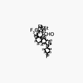 CC[Si](CC)(CC)O[C@@]1(C(F)(F)F)CC[C@]2(CC=O)c3cc4cnn(-c5ccc(F)cc5)c4cc3CCC[C@H]2C1